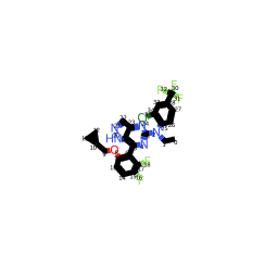 CCN(c1nc(-c2c(OCC3CC3)ccc(F)c2F)c2[nH]ncc2n1)c1ccc(C(F)(F)F)cc1Cl